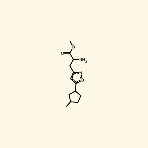 COC(=O)[C@@H](N)Cc1cc(C2CCC(C)C2)on1